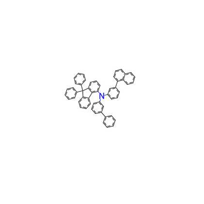 c1ccc(-c2cccc(N(c3cccc(-c4cccc5ccccc45)c3)c3cccc4c3-c3ccccc3C4(c3ccccc3)c3ccccc3)c2)cc1